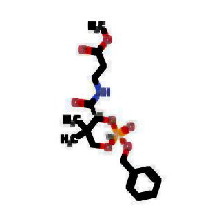 COC(=O)CCNC(=O)[C@@H]1O[P@@](=O)(OCc2ccccc2)OCC1(C)C